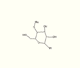 CC(C)C1OC(CO)C(OC(C)(C)C)C(O)C1O